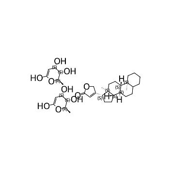 C[C@H]1OC(O)=C[C@H](O)[C@@H]1O.C[C@H]1OC(O)=C[C@H](O)[C@@H]1O.C[C@]12CC[C@H]3[C@@H](CCC4CCCC[C@@]43C)[C@@H]1CC[C@@H]2C1=CC(=O)OC1